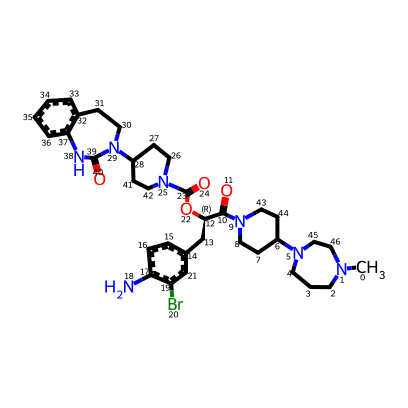 CN1CCCN(C2CCN(C(=O)[C@@H](Cc3ccc(N)c(Br)c3)OC(=O)N3CCC(N4CCc5ccccc5NC4=O)CC3)CC2)CC1